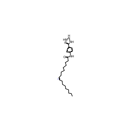 CCCCCCCC/C=C\CCCCCCCC(=O)Nc1ccc(C2=NNNN2)cc1